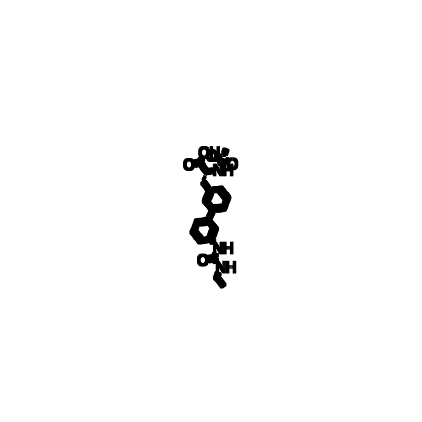 CCNC(=O)Nc1cccc(-c2cccc(C[C@@H](NS(C)(=O)=O)C(=O)O)c2)c1